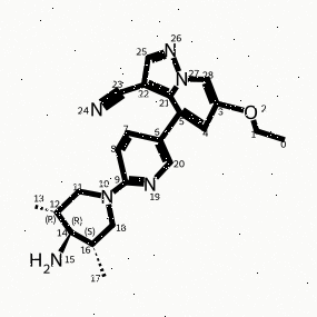 CCOc1cc(-c2ccc(N3C[C@@H](C)[C@H](N)[C@@H](C)C3)nc2)c2c(C#N)cnn2c1